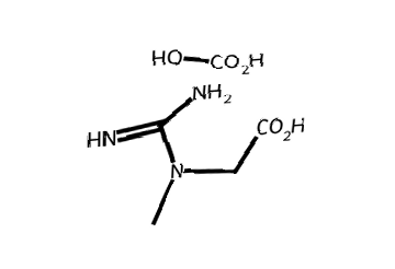 CN(CC(=O)O)C(=N)N.O=C(O)O